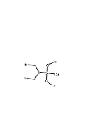 CCO[Si](OCC)(N(CC(C)C)CC(C)C)C(C)(C)C